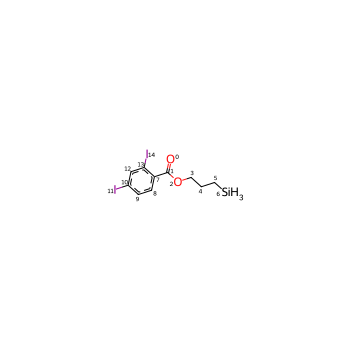 O=C(OCCC[SiH3])c1ccc(I)cc1I